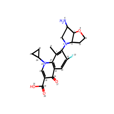 Cc1c(N2CC(N)C3OCCC32)c(F)cc2c(=O)c(C(=O)O)cn(C3CC3)c12